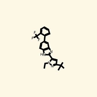 CCn1nc(C(C)(C)C)cc1-c1nc2cc(-c3ccccc3C(F)(F)F)ccc2[nH]1